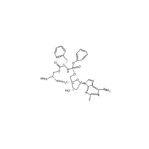 CCCCCCC(CCCCCC)COC(=O)[C@H](Cc1ccccc1)NP(=O)(OC[C@@]1(C)O[C@@H](n2cnc3c(N)nc(F)nc32)C[C@@H]1O)Oc1ccccc1